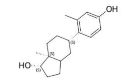 Cc1cc(O)ccc1[C@H]1CC[C@@]2(C)C(CC[C@@H]2O)C1